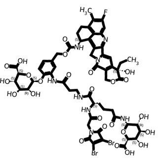 CC[C@@]1(O)C(=O)OCc2c1cc1n(c2=O)Cc2c-1nc1cc(F)c(C)c3c1c2[C@@H](NC(=O)OCc1ccc(O[C@@H]2O[C@H](C(=O)O)[C@@H](O)[C@H](O)[C@H]2O)c(NC(=O)CCNC(=O)[C@H](CCCC(=O)N[C@H]2O[C@H](C(=O)O)[C@@H](O)[C@H](O)[C@H]2O)NC(=O)CN2C(=O)C(Br)=C(Br)C2=O)c1)CC3